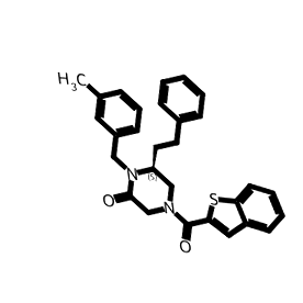 Cc1cccc(CN2C(=O)CN(C(=O)c3cc4ccccc4s3)C[C@@H]2CCc2ccccc2)c1